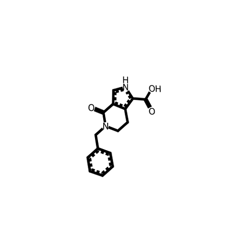 O=C(O)c1[nH]cc2c1CCN(Cc1ccccc1)C2=O